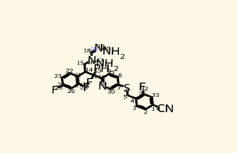 N#Cc1ccc(CSc2ccc(C(F)(P)C(CN(N)/C=N\N)c3ccc(F)cc3F)nc2)c(F)c1